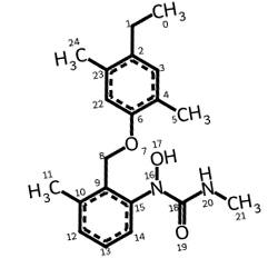 CCc1cc(C)c(OCc2c(C)cccc2N(O)C(=O)NC)cc1C